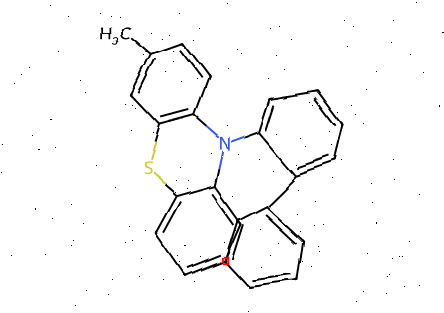 Cc1ccc2c(c1)Sc1ccccc1N2c1ccccc1-c1ccccc1